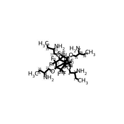 CCC(N)COC12C(F)(F)C3(OCC(N)CC)C(F)(F)C(OCC(N)CC)(C1(F)F)C(F)(F)C(OCC(N)CC)(C2(F)F)C3(F)F